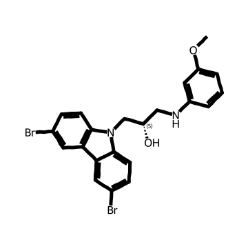 COc1cccc(NC[C@H](O)Cn2c3ccc(Br)cc3c3cc(Br)ccc32)c1